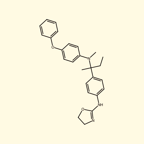 CCC(C)(c1ccc(NC2=NCCO2)cc1)N(C)c1ccc(Oc2ccccc2)cc1